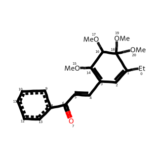 CCC1=CC(C=CC(=O)c2ccccc2)=C(OC)C(OC)C1(OC)OC